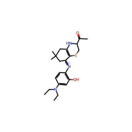 CCN(CC)c1ccc(/N=C2\CC(C)(C)CC3=C2SCC(C(C)=O)N3)c(O)c1